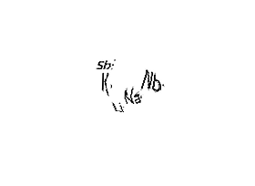 [K].[Li].[Na].[Nb].[Sb]